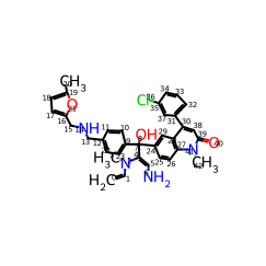 C=CN(C)/C(=C\N)C(O)(c1ccc(CNCc2ccc(C)o2)cc1)c1ccc2c(c1)c(-c1cccc(Cl)c1)cc(=O)n2C